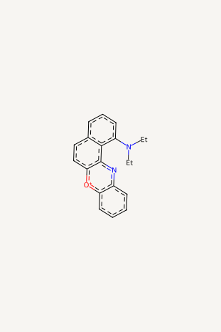 CCN(CC)c1cccc2ccc3[o+]c4ccccc4nc3c12